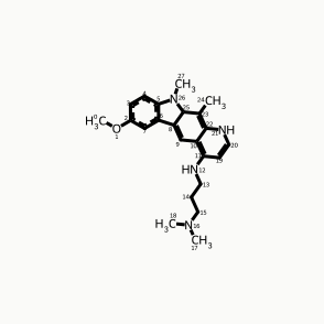 COc1ccc2c(c1)C1=CC3=C(NCCCN(C)C)C=CNC3=C(C)C1N2C